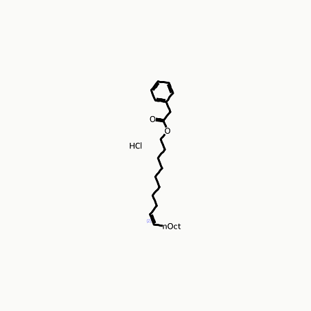 CCCCCCCC/C=C\CCCCCCCCOC(=O)Cc1ccccc1.Cl